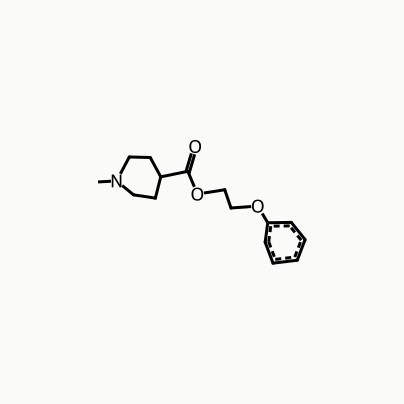 CN1CCC(C(=O)OCCOc2ccccc2)CC1